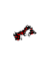 CCc1cc(Nc2ncc(Br)c(Nc3ccc4nccnc4c3P(C)(C)=O)n2)c(OC)cc1N1CCC(N2CCN(C(=O)C3CC(Oc4ccc(C5CC(C=O)CNC5=O)cc4)C3)CC2)CC1